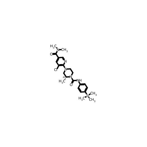 C[C@@H]1CN(c2ncc(C(=O)N(C)C)cc2Cl)CCN1C(=O)Nc1ccc([Si](C)(C)C)cc1